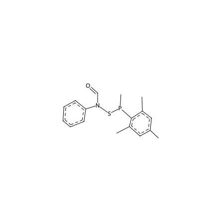 Cc1cc(C)c(P(C)SN(C=O)c2ccccc2)c(C)c1